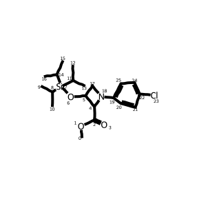 COC(=O)C1C(O[Si](C(C)C)(C(C)C)C(C)C)CN1c1ccc(Cl)cc1